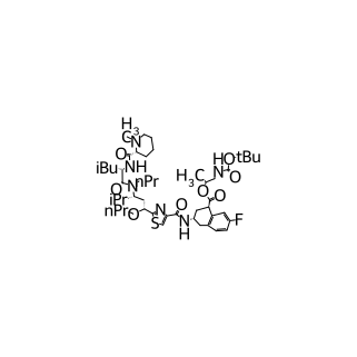 CCCO[C@H](C[C@H](C(C)C)N(CCC)C(=O)[C@@H](NC(=O)[C@H]1CCCCN1C)[C@@H](C)CC)c1nc(C(=O)N[C@H]2Cc3ccc(F)cc3[C@H](C(=O)OC(C)CNC(=O)OC(C)(C)C)C2)cs1